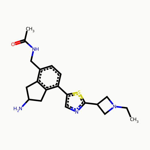 CCN1CC(c2ncc(-c3ccc(CNC(C)=O)c4c3CC(N)C4)s2)C1